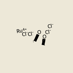 [C]=O.[C]=O.[Cl-].[Cl-].[Cl-].[Cl-].[Ru+4]